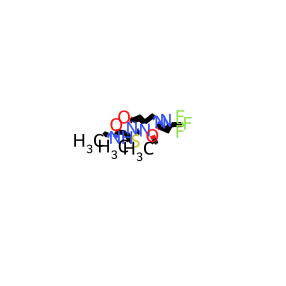 CCNC(=O)c1c(C)sc2nc(Cn3nc(C(F)(F)F)cc3OCC)cc(=O)n12